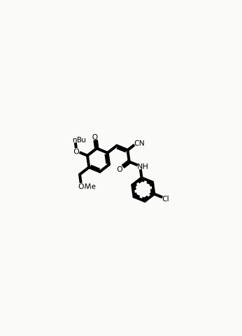 CCCCOC1C(=O)C(C=C(C#N)C(=O)Nc2cccc(Cl)c2)=CC=C1COC